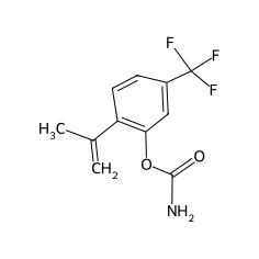 C=C(C)c1ccc(C(F)(F)F)cc1OC(N)=O